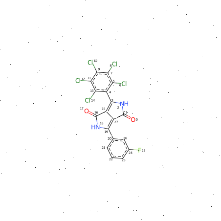 O=C1NC(c2c(Cl)c(Cl)c(Cl)c(Cl)c2Cl)=C2C(=O)NC(c3cccc(F)c3)=C12